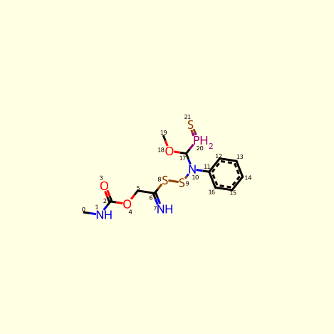 CNC(=O)OCC(=N)SSN(c1ccccc1)C(OC)[PH2]=S